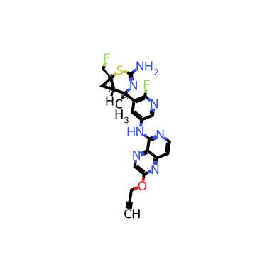 C#CCOc1cnc2c(Nc3cnc(F)c([C@@]4(C)N=C(N)S[C@@]5(CF)C[C@H]54)c3)nccc2n1